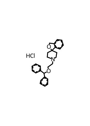 Cl.c1ccc(C(OCCN2CCC3(CC2)OCc2ccccc23)c2ccccc2)cc1